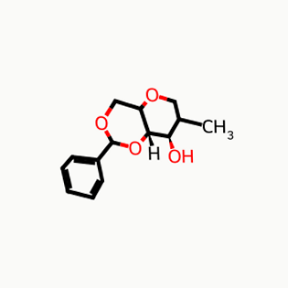 CC1COC2COC(c3ccccc3)O[C@H]2[C@@H]1O